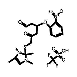 CC1=CN(C)C(C)(SCC(=O)CC(CC=O)Oc2ccccc2[N+](=O)[O-])N1C.O=S(=O)(O)C(F)(F)F